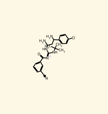 CC(C)(C)N/C(=N/C(=O)c1cccc(C#N)c1)NC(N)CC(N)c1ccc(Cl)cc1